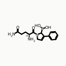 NC(=O)CC[C@H](N)C(=O)N1CC=C(c2ccccc2)C1B(O)O